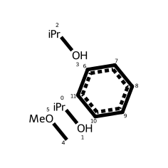 CC(C)O.CC(C)O.COC.c1ccccc1